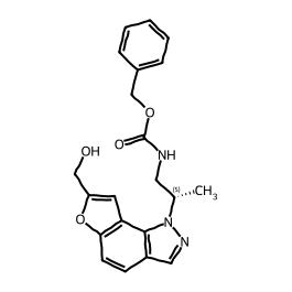 C[C@@H](CNC(=O)OCc1ccccc1)n1ncc2ccc3oc(CO)cc3c21